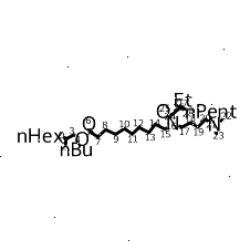 CCCCCCC(CCCC)COC(=O)CCCCCCCCCN(CCCCN(C)C)C(=O)C(CC)CCCCC